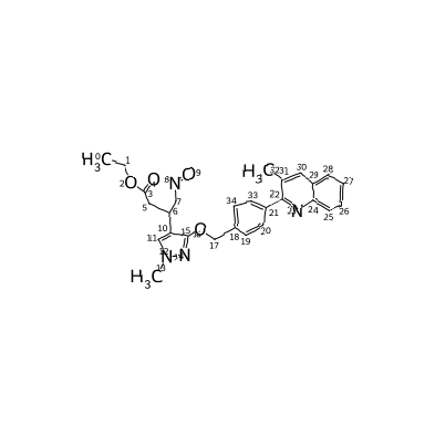 CCOC(=O)CC(CN=O)c1cn(C)nc1OCc1ccc(-c2nc3ccccc3cc2C)cc1